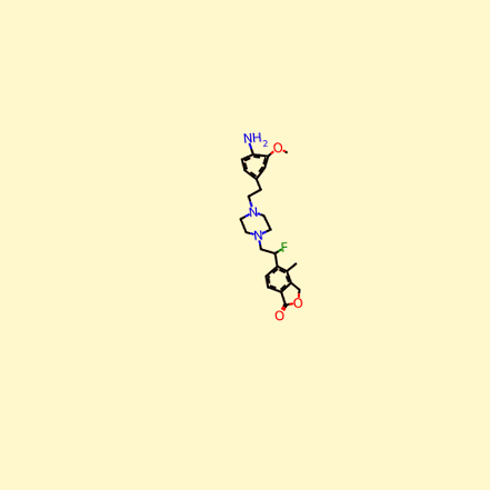 COc1cc(CCN2CCN(CC(F)c3ccc4c(c3C)COC4=O)CC2)ccc1N